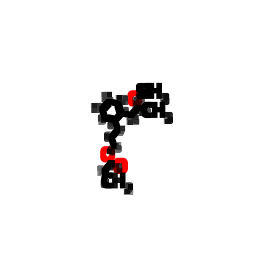 C=CC(=O)OCCCc1ccccc1CC(C)O[SiH3]